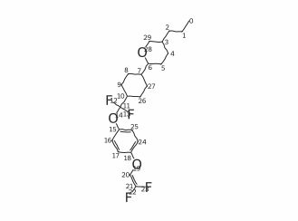 CCCC1CCC(C2CCC(C(F)(F)Oc3ccc(OC=C(F)F)cc3)CC2)OC1